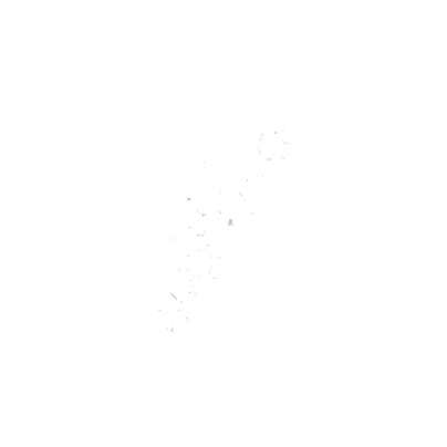 CC(C1CC1)N(Cc1ccc(Br)cc1)C(=O)CN1C(=O)O[C@@]2(CCc3cc(NC(=O)C(C)(C)N)ccc32)C1=O